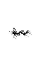 CC1=C(C)C(=O)C(CC[C@](C)(O)CCC[C@H](C)CCC[C@H](C)CCCC(C)C)=C(C)C1=O